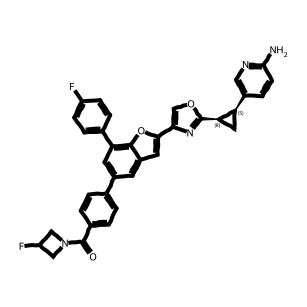 Nc1ccc([C@H]2C[C@H]2c2nc(-c3cc4cc(-c5ccc(C(=O)N6CC(F)C6)cc5)cc(-c5ccc(F)cc5)c4o3)co2)cn1